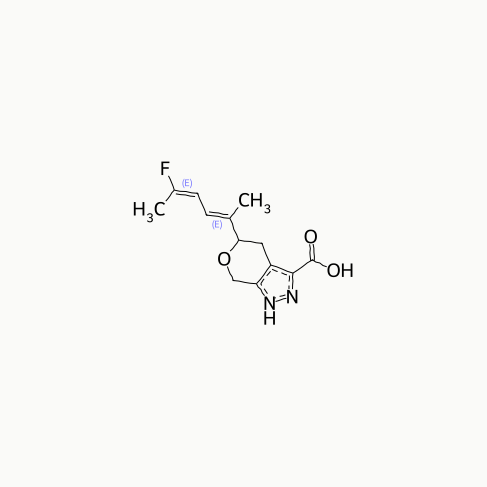 C/C(F)=C\C=C(/C)C1Cc2c(C(=O)O)n[nH]c2CO1